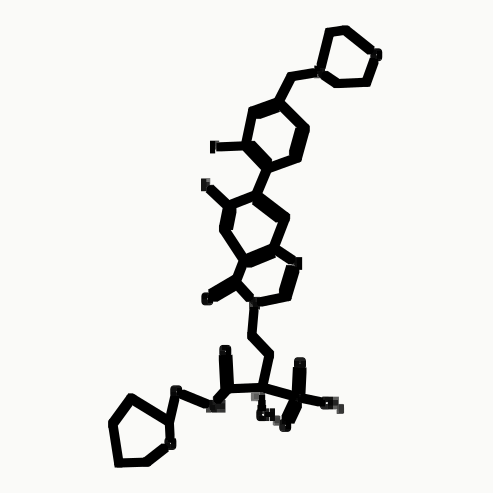 C[C@@](CCn1cnc2cc(-c3ccc(CN4CCOCC4)cc3F)c(F)cc2c1=O)(C(=O)NOC1CCCCO1)S(C)(=O)=O